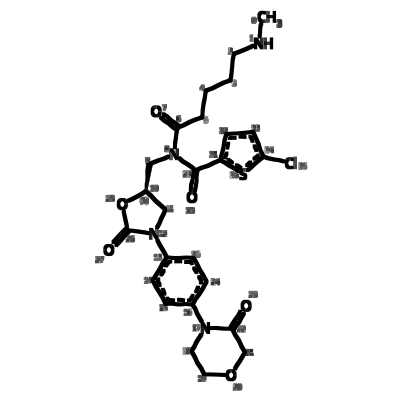 CNCCCCC(=O)N(C[C@H]1CN(c2ccc(N3CCOCC3=O)cc2)C(=O)O1)C(=O)c1ccc(Cl)s1